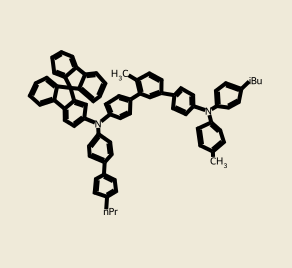 CCCc1ccc(-c2ccc(N(c3ccc(-c4cc(-c5ccc(N(c6ccc(C)cc6)c6ccc(C(C)CC)cc6)cc5)ccc4C)cc3)c3ccc4c(c3)C3(c5ccccc5-c5ccccc53)c3ccccc3-4)cc2)cc1